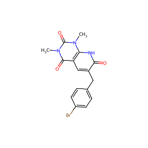 Cn1c(=O)c2cc(Cc3ccc(Br)cc3)c(=O)[nH]c2n(C)c1=O